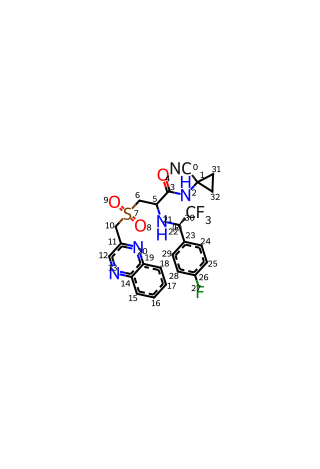 N#CC1(NC(=O)C(CS(=O)(=O)Cc2cnc3ccccc3n2)N[C@H](c2ccc(F)cc2)C(F)(F)F)CC1